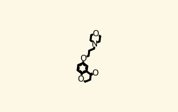 O=C1CCOc2ccc(OCCCN3CCOCC3)cc21